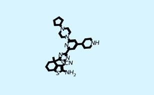 CC1(c2nc(-c3cc(C4CCNCC4)cc(N4CCN(C5CCCC5)CC4)n3)no2)CCCc2sc(N)c(C#N)c21